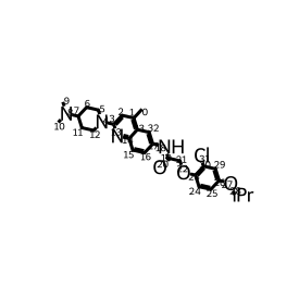 Cc1cc(N2CCC(N(C)C)CC2)nc2ccc(NC(=O)COc3ccc(OC(C)C)cc3Cl)cc12